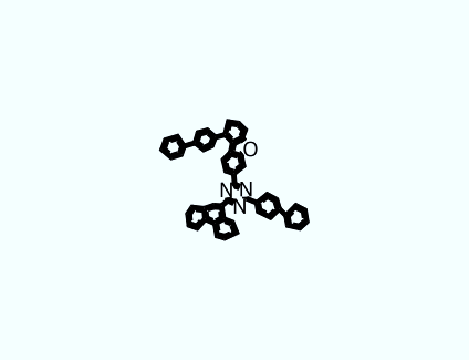 c1ccc(-c2ccc(-c3nc(-c4ccc5c(c4)oc4cccc(-c6ccc(-c7ccccc7)cc6)c45)nc(-c4cc5ccccc5c5ccccc45)n3)cc2)cc1